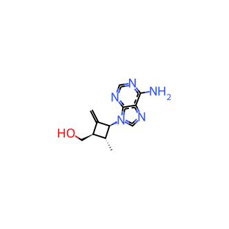 C=C1[C@@H](n2cnc3c(N)ncnc32)[C@H](C)[C@H]1CO